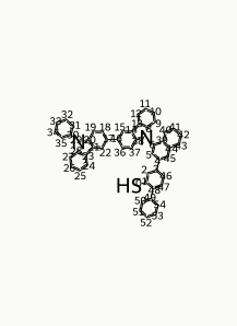 Sc1cc(-c2cc(-n3c4ccccc4c4cc(-c5ccc6c(c5)c5ccccc5n6-c5ccccc5)ccc43)c3ccccc3c2)ccc1-c1ccccc1